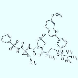 C=C[C@@H]1C[C@]1(NC(=O)[C@@H]1C[C@@H](Oc2cc(-c3ccccc3)nc3cc(OC)ccc23)CN1C(=O)[C@@H](C)CCO[Si](C)(C)C(C)(C)C)C(=O)NS(=O)(=O)c1ccccc1